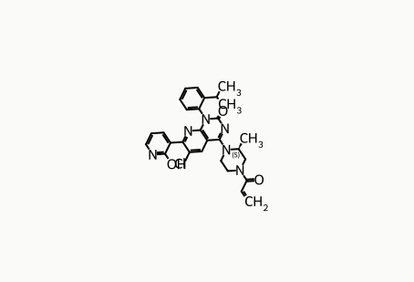 C=CC(=O)N1CCN(c2nc(=O)n(-c3ccccc3C(C)C)c3nc(-c4cccnc4O)c(Cl)cc23)[C@@H](C)C1